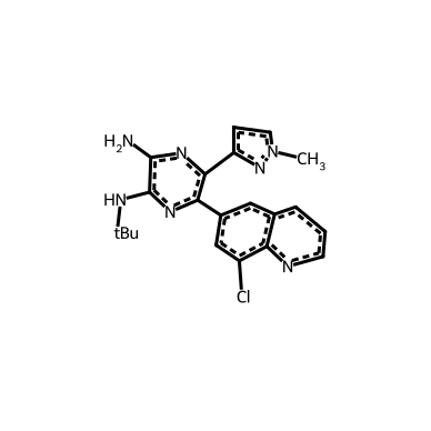 Cn1ccc(-c2nc(N)c(NC(C)(C)C)nc2-c2cc(Cl)c3ncccc3c2)n1